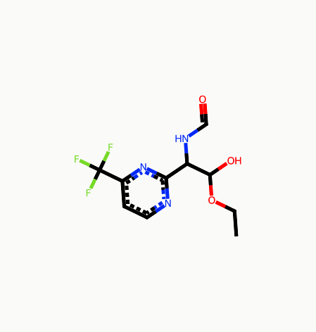 CCOC(O)C(NC=O)c1nccc(C(F)(F)F)n1